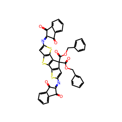 O=C(OCc1ccccc1)C1(C(=O)OCc2ccccc2)c2cc(N=c3c(=O)c4ccccc4c3=O)sc2-c2sc3cc(N=c4c(=O)c5ccccc5c4=O)sc3c21